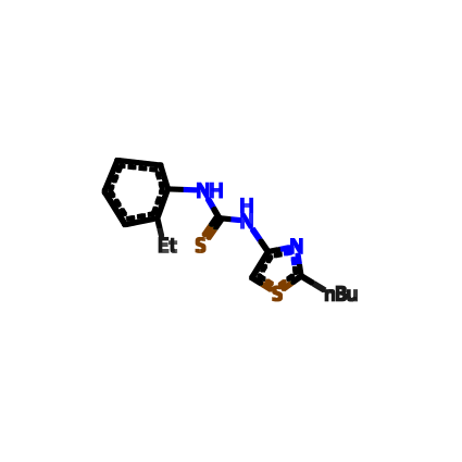 CCCCc1nc(NC(=S)Nc2ccccc2CC)cs1